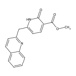 COC(=O)c1ccc(Cc2ccc3ccccc3n2)[nH]c1=O